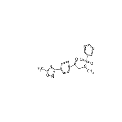 CN(CC(=O)c1ccc(-c2noc(C(F)(F)F)n2)cc1)S(=O)(=O)c1cncnc1